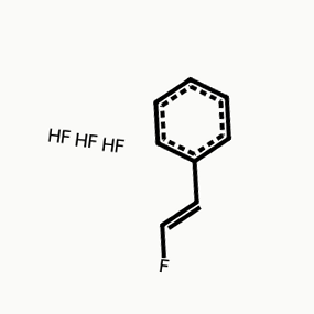 F.F.F.FC=Cc1ccccc1